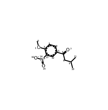 COc1ccc(C(=O)CC(C)C)cc1[N+](=O)[O-]